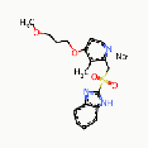 COCCCOc1ccnc(CS(=O)(=O)c2nc3ccccc3[nH]2)c1C.[Na]